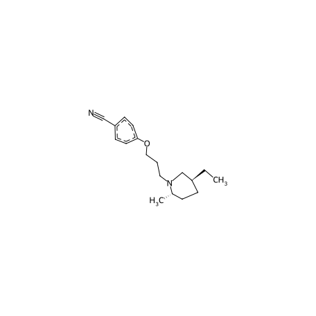 CC[C@H]1CC[C@H](C)N(CCCOc2ccc(C#N)cc2)C1